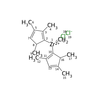 [CH2]=[Zr+2]([C]1=C(C)C(C)=CC1C)[C]1=C(C)C=C(C)C1C.[Cl-].[Cl-]